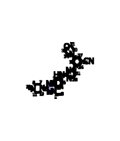 C=CN(/N=C(\N)N1CCN(C)CC1)c1ccc(Nc2nccc(-c3cc(C#N)cc(N4CCOCC4)c3)n2)cc1